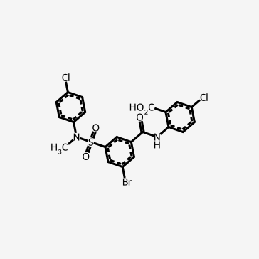 CN(c1ccc(Cl)cc1)S(=O)(=O)c1cc(Br)cc(C(=O)Nc2ccc(Cl)cc2C(=O)O)c1